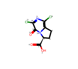 O=C(O)[C@@H]1CCc2c(Cl)nc(Cl)c(=O)n21